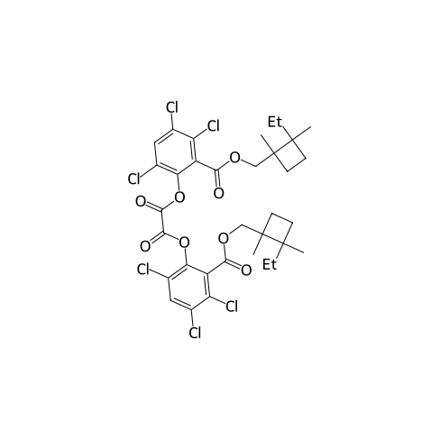 CCC1(C)CCC1(C)COC(=O)c1c(Cl)c(Cl)cc(Cl)c1OC(=O)C(=O)Oc1c(Cl)cc(Cl)c(Cl)c1C(=O)OCC1(C)CCC1(C)CC